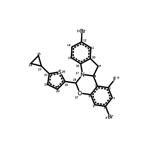 Fc1cc(Br)cc2c1C1Cc3cc(Br)ccc3N1C(c1ccc(C3CC3)s1)O2